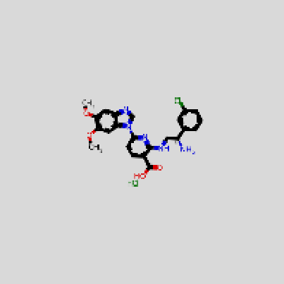 COc1cc2ncn(-c3ccc(C(=O)O)c(NC[C@H](N)c4cccc(Cl)c4)n3)c2cc1OC.Cl